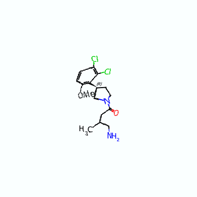 COc1ccc(Cl)c(Cl)c1[C@H]1CCN(C(=O)CC(C)CN)C1